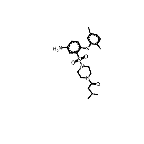 Cc1ccc(C)c(Sc2ccc(N)cc2S(=O)(=O)N2CCN(C(=O)CC(C)C)CC2)c1